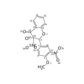 COc1ccc(C2Oc3ccccc3C(=O)C2(Cl)[N+](=O)[O-])cc1[N+](=O)[O-]